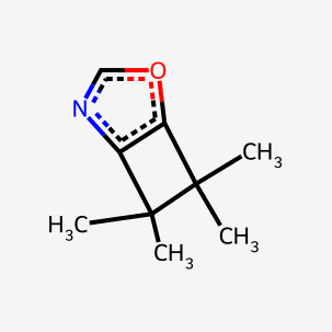 CC1(C)c2ncoc2C1(C)C